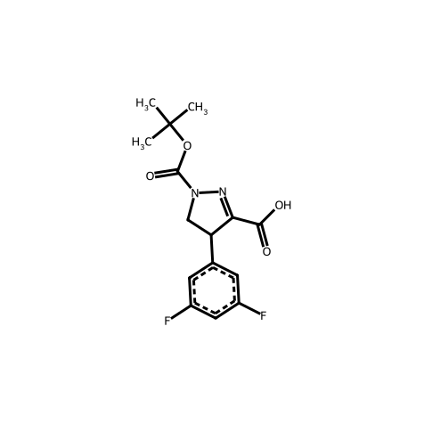 CC(C)(C)OC(=O)N1CC(c2cc(F)cc(F)c2)C(C(=O)O)=N1